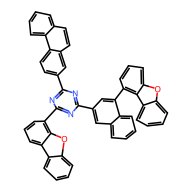 c1ccc2c(-c3cccc4oc5ccccc5c34)cc(-c3nc(-c4ccc5c(ccc6ccccc65)c4)nc(-c4cccc5c4oc4ccccc45)n3)cc2c1